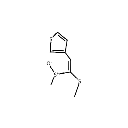 CSC(=Cc1ccsc1)[S+](C)[O-]